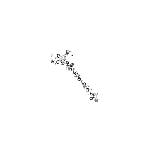 CC1C2C(C)C3C4C2C(OCC(=O)NCCOCCOCCOCCOCCNC(=O)CCl)C1C34C